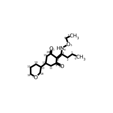 CCCC(NOCC)=C1C(=O)CC(C2CCCOC2)CC1=O